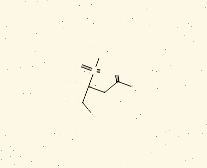 C[C@@](CN)(CC(N)=O)S(C)(=O)=O.Cl